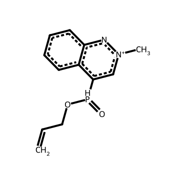 C=CCO[PH](=O)c1c[n+](C)nc2ccccc12